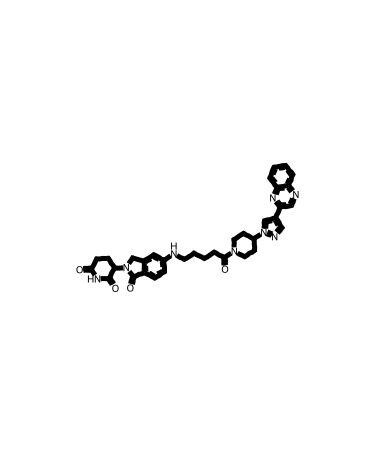 O=C1CCC(N2Cc3cc(NCCCCC(=O)N4CCC(n5cc(-c6cnc7ccccc7n6)cn5)CC4)ccc3C2=O)C(=O)N1